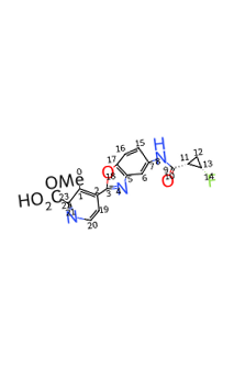 COc1c(-c2nc3cc(NC(=O)[C@@H]4C[C@@H]4F)ccc3o2)ccnc1C(=O)O